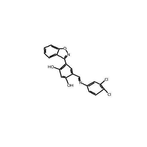 Oc1cc(O)c(-c2noc3ccccc23)cc1/C=N/c1ccc(Cl)c(Cl)c1